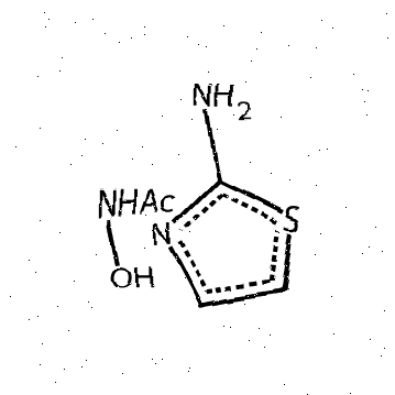 CC(=O)NO.Nc1nccs1